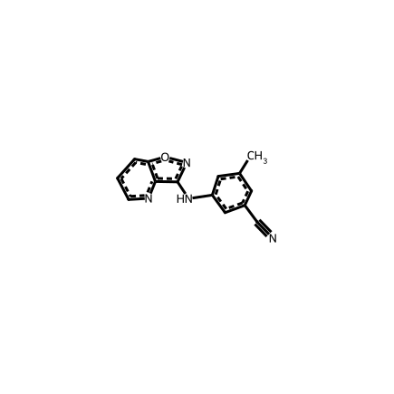 Cc1cc(C#N)cc(Nc2noc3cccnc23)c1